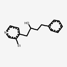 CCc1cnccc1CC(O)CCc1ccccc1